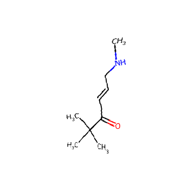 CNC/C=C/C(=O)C(C)(C)C